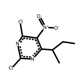 CCC(C)c1nc(Cl)nc(Cl)c1[N+](=O)[O-]